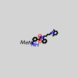 CNC(=N)c1cccc(C2Oc3ccccc3N(CCCCCN3C(C)CCCC3C)C2=O)c1